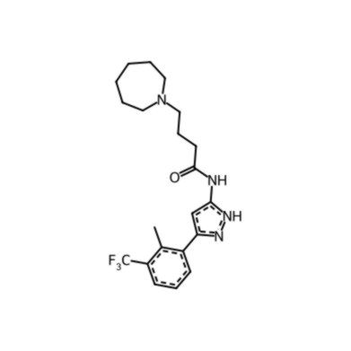 Cc1c(-c2cc(NC(=O)CCCN3CCCCCC3)[nH]n2)cccc1C(F)(F)F